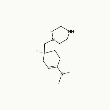 CN(C)C1=CC[C@@](C)(CN2CCNCC2)CC1